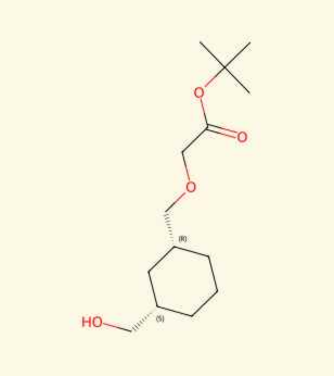 CC(C)(C)OC(=O)COC[C@@H]1CCC[C@H](CO)C1